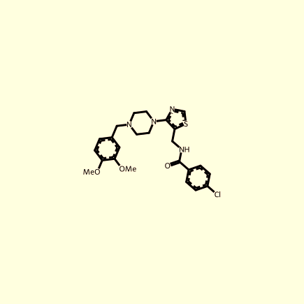 COc1ccc(CN2CCN(c3ncsc3CNC(=O)c3ccc(Cl)cc3)CC2)cc1OC